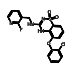 O=S1(=O)N=C(NCc2cccnc2F)Nc2c(Oc3ccccc3Cl)cccc21